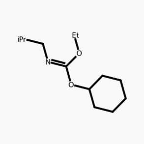 CCOC(=NCC(C)C)OC1CCCCC1